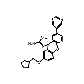 NC1=N[C@]2(CO1)c1cc(OCC3CCCC3)ccc1Oc1ccc(-c3cncnc3)cc12